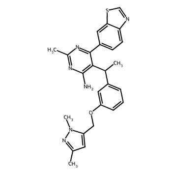 Cc1cc(COc2cccc(C(C)c3c(N)nc(C)nc3-c3ccc4ncsc4c3)c2)n(C)n1